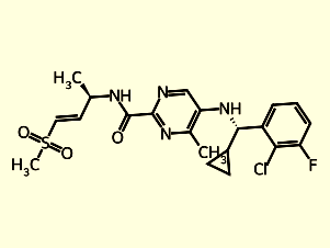 Cc1nc(C(=O)N[C@H](C)/C=C/S(C)(=O)=O)ncc1N[C@H](c1cccc(F)c1Cl)C1CC1